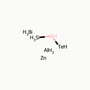 [AlH3].[BiH3].[SiH3]B[TeH].[Zn]